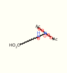 CC(=O)CCOCCOCCN(CCOCCOCCC(C)=O)C(=O)CCCCNC(=O)CCCCCCCCCCCCCCCCC(=O)O